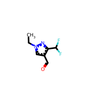 CCn1cc(C=O)c(C(F)F)n1